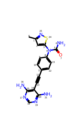 Cc1cc(N(C(N)=O)c2ccc(C#Cc3c(N)ncnc3N)cc2)sn1